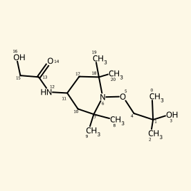 CC(C)(O)CON1C(C)(C)CC(NC(=O)CO)CC1(C)C